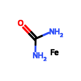 NC(N)=O.[Fe]